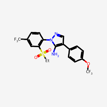 CCS(=O)(=O)c1cc(C(F)(F)F)ccc1-n1ncc(-c2ccc(OC(F)(F)F)cc2)c1N